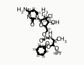 CC(C)OC(O)[C@@H](C)NP(=O)(OCC1O[C@@H](n2ccc(N)nc2=O)[C@](C)(Cl)[C@@H]1O)Oc1ccccc1